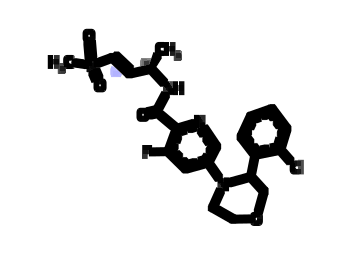 C[C@H](/C=C/S(C)(=O)=O)NC(=O)c1ncc(N2CCOCC2c2ccccc2Cl)cc1F